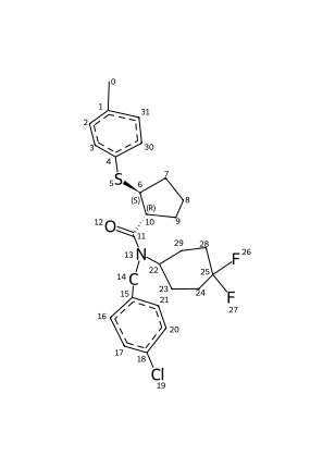 Cc1ccc(S[C@H]2CCC[C@@H]2C(=O)N(Cc2ccc(Cl)cc2)C2CCC(F)(F)CC2)cc1